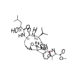 COC(=O)c1nc(-c2nc3oc2C24c5ccccc5N[C@H]2Oc2ccc(cc24)C[C@H](NC(=O)[C@@H](O)CC(C)C)C(=O)N[C@H]3C(C)C)oc1C